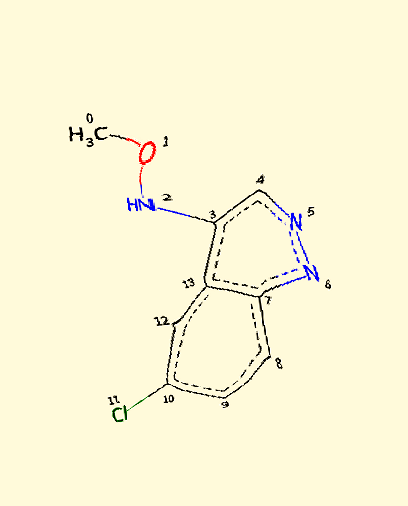 CONc1cnnc2ccc(Cl)cc12